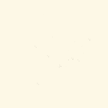 C=N/C(=C(/F)c1nc(OC[C@@H]2CCCN2C)nc(N2CC3CCC(C(N)=O)(C2)N3C(=O)OC(C)(C)C)c1C)c1cc(O)cc2ccccc12